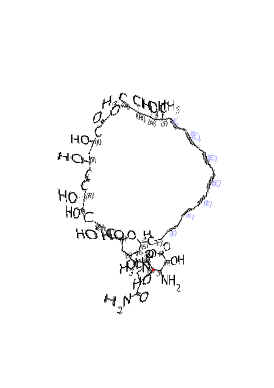 C[C@@H]1[C@H](O)[C@@H](C)/C=C/C=C/C=C/C=C/C=C/C=C/C=C/[C@H](O[C@@H]2O[C@H](C)[C@@H](O)[C@H](N)[C@@H]2O)C[C@@H]2O[C@](O)(C[C@@H](O)C[C@@H](O)[C@H](O)CC[C@@H](O)C[C@@H](O)CC(=O)O[C@H]1C)C[C@H](O)[C@H]2C(=O)N1CC(C(N)=O)C1